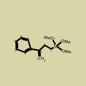 C=C(CC[Si](OC)(OC)OC)c1ccccc1